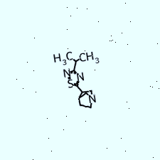 CC(C)c1nsc(C2CN3CCC2C3)n1